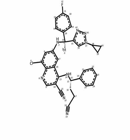 [2H][C@](Nc1cc(Cl)c2ncc(C#N)c(N[C@@H](CCC#N)c3ccccc3)c2c1)(c1ccc(F)cc1)c1cn(C2CC2)nn1